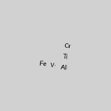 [Al].[Cr].[Fe].[Ti].[V]